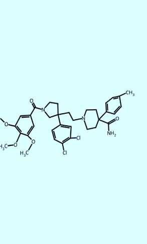 COc1cc(C(=O)N2CCC(CCN3CCC(C(N)=O)(c4ccc(C)cc4)CC3)(c3ccc(Cl)c(Cl)c3)C2)cc(OC)c1OC